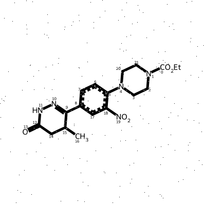 CCOC(=O)N1CCN(c2ccc(C3=NNC(=O)CC3C)cc2[N+](=O)[O-])CC1